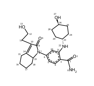 NC(=O)c1ccc(N2C(=O)C(CCO)=C3CCCCC32)cc1N[C@H]1CC[C@H](O)CC1